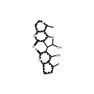 O=c1oc2cccc(F)c2c(O)c1C1c2c(c3c(F)cccc3oc2=O)OC1O